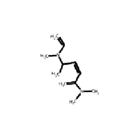 C=CN(C)C(C)/C=C\C(=C)N(C)C